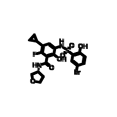 O=C(N[C@@H]1CCOC1)c1c(O)c(NS(=O)(=O)c2cc(Br)ccc2O)cc(C2CC2)c1F